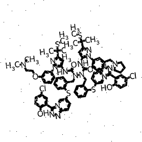 CSC(C)(C)c1cc(NC(=O)N(Cc2ccccc2Sc2ccc3nnc(-c4cc(Cl)ccc4O)n3c2)N(Cc2ccccc2Sc2ccc3nnc(-c4cc(Cl)ccc4O)n3c2)C(=O)Nc2cc(C(C)(C)SC)nn2-c2cccc(OCCN(C)C)c2)n(-c2cccc(CN3CCCC3)c2)n1